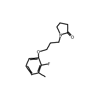 Cc1[c]ccc(OCCCN2CCCC2=O)c1F